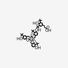 CC(C)(C)c1cc(CCC(=O)O)cc(C(C)(C)C)c1O.CC(C)(C)c1cc(Cn2c(=O)n(Cc3ccc(O)c(C(C)(C)C)c3)c(=O)n(Cc3ccc(O)c(C(C)(C)C)c3)c2=O)ccc1O